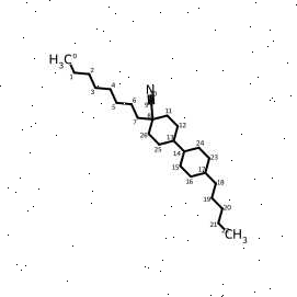 CCCCCCCCC1(C#N)CCC(C2CCC(CCCCC)CC2)CC1